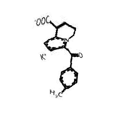 Cc1ccc(C(=O)c2ccc3n2CCCC3C(=O)[O-])cc1.[K+]